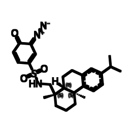 CC(C)c1ccc2c(c1)CC[C@H]1[C@@](C)(CNS(=O)(=O)C3=CC(=[N+]=[N-])C(=O)C=C3)CCC[C@]21C